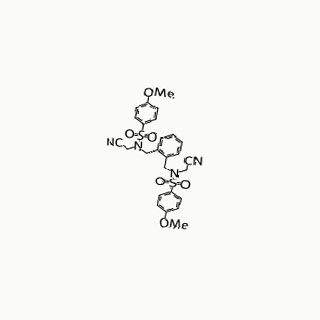 COc1ccc(S(=O)(=O)N(CC#N)Cc2ccccc2CN(CC#N)S(=O)(=O)c2ccc(OC)cc2)cc1